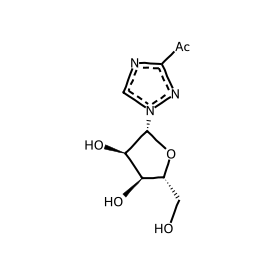 CC(=O)c1ncn([C@@H]2O[C@H](CO)[C@@H](O)[C@H]2O)n1